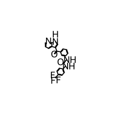 O=C(Nc1ccc(C(F)(F)F)cc1)Nc1cccc(C(=O)c2c[nH]c3ncccc23)c1